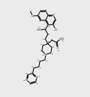 COc1ccc2ncc(Cl)c(C(O)CCC3(CC(=O)O)CCN(CCCCc4cnccn4)CC3)c2c1